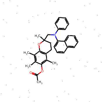 CC(=O)Oc1c(C)c(C)c2c(c1C)CCC(C)(CN(c1ccccc1)c1cccc3ccccc13)O2